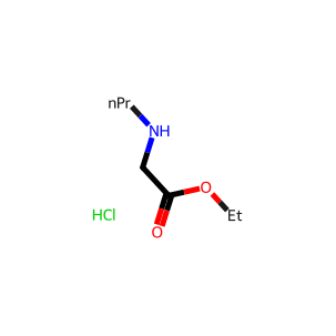 CCCNCC(=O)OCC.Cl